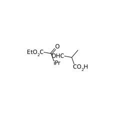 CC(C=O)C(=O)O.CCOC(=O)C(=O)C(C)C